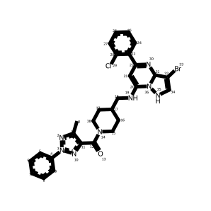 Cc1nn(-c2ccccc2)nc1C(=O)N1CCC(CNC2=CC(c3ccccc3Cl)=NC3C(Br)=CNN23)CC1